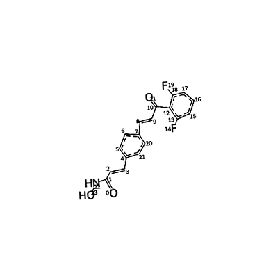 O=C(C=Cc1ccc(C=CC(=O)c2c(F)cccc2F)cc1)NO